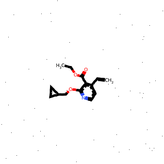 C=Cc1ccnc(OCC2CC2)c1C(=O)OCC